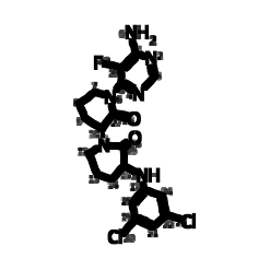 Nc1ncnc(N2CCC[C@@H](N3CCCC(Nc4cc(Cl)cc(Cl)c4)C3=O)C2=O)c1F